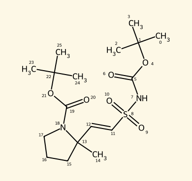 CC(C)(C)OC(=O)NS(=O)(=O)C=CC1(C)CCCN1C(=O)OC(C)(C)C